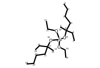 CCCCC(C)(CC)O[Si](OCC)(OCC)OC(C)(CC)CCCC